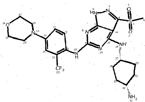 CS(=O)(=O)c1n[nH]c2nc(Nc3ccc(N4CCOCC4)cc3C(F)(F)F)nc(N[C@H]3CC[C@@H](N)CC3)c12